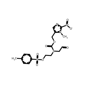 Cc1ccc(S(=O)(=O)OCCN(CC=O)C(=O)OCc2cnc([N+](=O)[O-])n2C)cc1